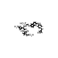 CC1(C)[C@H](NC(=O)/C(=N\O[C@@H](COc2ccc3nc(NC4CCN(CC5CNC5)CC4)ccc3c2)C(=O)O)c2csc(N)n2)C(=O)N1OS(=O)(=O)O